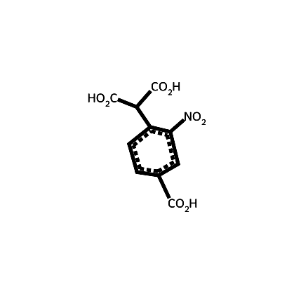 O=C(O)c1ccc(C(C(=O)O)C(=O)O)c([N+](=O)[O-])c1